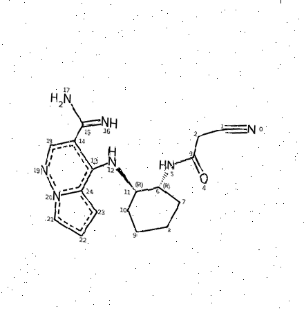 N#CCC(=O)N[C@@H]1CCCC[C@H]1Nc1c(C(=N)N)cnn2cccc12